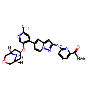 CNC(=O)c1cccc(Nc2cc3cc(-c4cc(C)ncc4O[C@H]4C[C@H]5COC[C@@H](C4)N5C)ccn3n2)n1